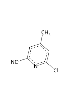 Cc1cc(Cl)nc(C#N)c1